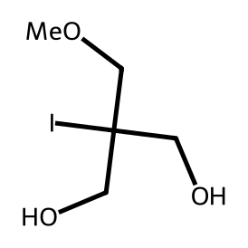 COCC(I)(CO)CO